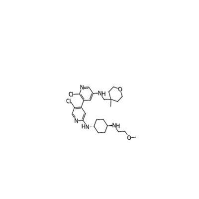 COCCN[C@H]1CC[C@H](Nc2cc(-c3cc(NCC4(C)CCOCC4)cnc3Cl)c(Cl)cn2)CC1